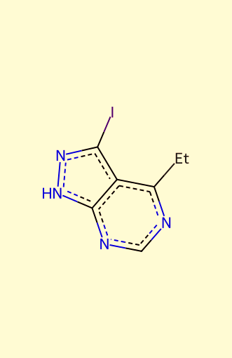 CCc1ncnc2[nH]nc(I)c12